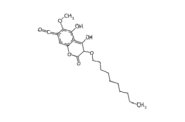 CCCCCCCCCCOC1C(=O)Oc2cc(=C=O)c(OC)c(O)c2=C1O